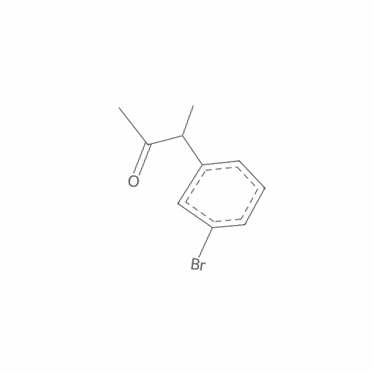 CC(=O)C(C)c1cccc(Br)c1